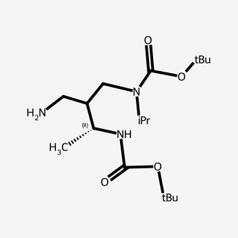 CC(C)N(CC(CN)[C@@H](C)NC(=O)OC(C)(C)C)C(=O)OC(C)(C)C